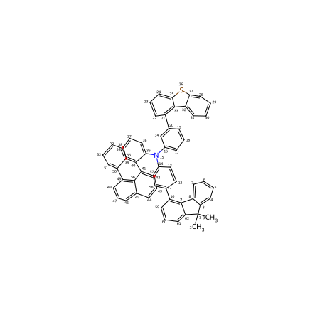 CC1(C)c2ccccc2-c2c(-c3ccc(N(c4cccc(-c5cccc6sc7ccccc7c56)c4)c4ccccc4-c4cccc5cccc(-c6ccccc6)c45)cc3)cccc21